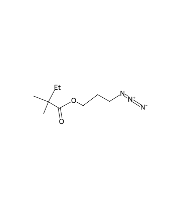 CCC(C)(C)C(=O)OCCCN=[N+]=[N-]